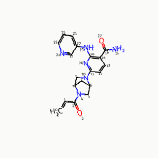 C=CC(=O)N1CC2CC1CN2c1ccc(C(N)=O)c(Nc2cccnc2)n1